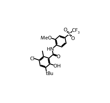 COc1cc(S(=O)(=O)C(F)(F)F)ccc1NC(=O)c1c(C)c(Cl)cc(C(C)(C)C)c1O